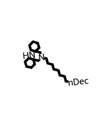 CCCCCCCCCCCCCCCCCCN1CC2(CCCCC2)NC2(CCCCC2)C1